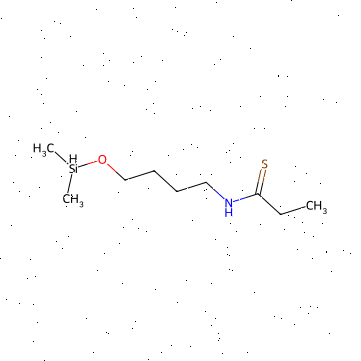 CCC(=S)NCCCCO[SiH](C)C